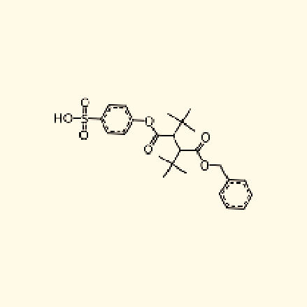 CC(C)(C)C(C(=O)OCc1ccccc1)C(C(=O)Oc1ccc(S(=O)(=O)O)cc1)C(C)(C)C